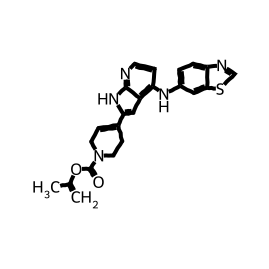 C=C(C)OC(=O)N1CC=C(c2cc3c(Nc4ccc5ncsc5c4)ccnc3[nH]2)CC1